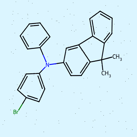 CC1(C)c2ccccc2-c2cc(N(c3ccccc3)c3ccc(Br)cc3)ccc21